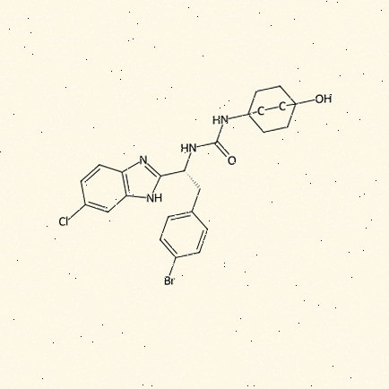 O=C(N[C@H](Cc1ccc(Br)cc1)c1nc2ccc(Cl)cc2[nH]1)NC12CCC(O)(CC1)CC2